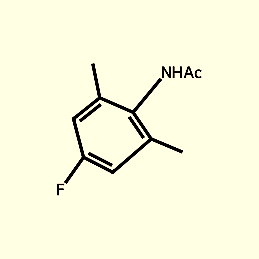 CC(=O)Nc1c(C)cc(F)cc1C